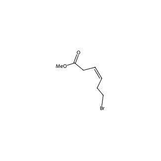 COC(=O)C/C=C\CCBr